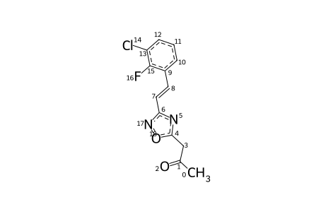 CC(=O)Cc1nc(/C=C/c2cccc(Cl)c2F)no1